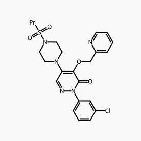 CC(C)S(=O)(=O)N1CCN(c2cnn(-c3cccc(Cl)c3)c(=O)c2OCc2ccccn2)CC1